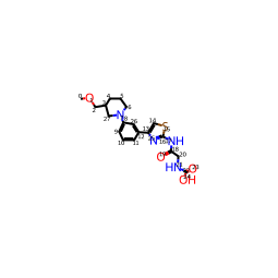 COCC1CCCN(c2cccc(-c3csc(NC(=O)CNC(=O)O)n3)c2)C1